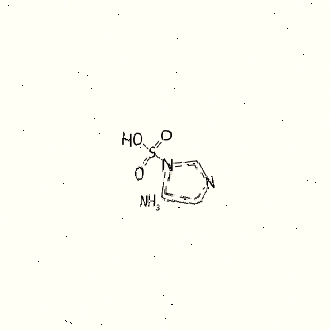 N.O=S(=O)(O)n1ccnc1